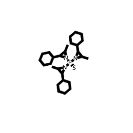 CC1C(C2CCCCC2)N1P(=S)(N1C(C)C1C1CCCCC1)N1C(C)C1C1CCCCC1